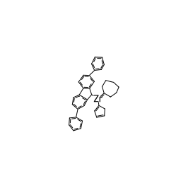 C1=CC[C]([Zr](=[C]2CCCCCC2)[CH]2c3cc(-c4ccccc4)ccc3-c3ccc(-c4ccccc4)cc32)=C1